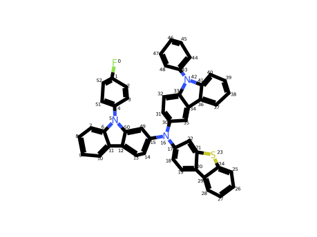 Fc1ccc(-n2c3ccccc3c3ccc(N(c4ccc5c(c4)sc4ccccc45)c4ccc5c(c4)c4ccccc4n5-c4ccccc4)cc32)cc1